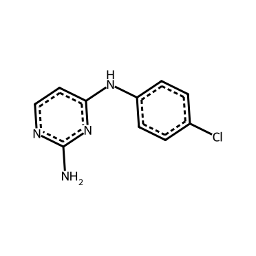 Nc1nccc(Nc2ccc(Cl)cc2)n1